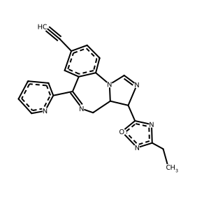 C#Cc1ccc2c(c1)C(c1ccccn1)=NCC1C(c3nc(CC)no3)N=CN21